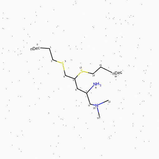 CCCCCCCCCCCCSCC(CC(N)CN(C)C)SCCCCCCCCCCCC